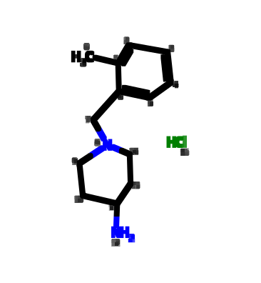 Cc1ccccc1CN1CCC(N)CC1.Cl